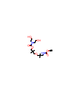 C#COC(=O)NCC(C)(C)COCC(C)(C)COC(=O)N(CCO)CCO